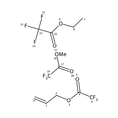 C=CCOC(=O)C(F)(F)F.CCOC(=O)C(F)(F)F.COC(=O)C(F)(F)F